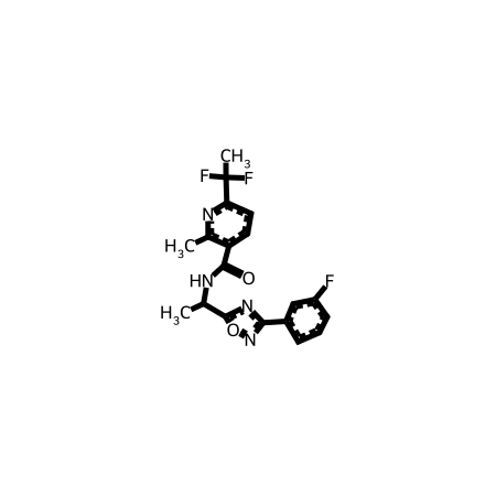 Cc1nc(C(C)(F)F)ccc1C(=O)NC(C)c1nc(-c2cccc(F)c2)no1